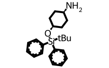 CC(C)(C)[Si](O[C@H]1CC[C@@H](N)CC1)(c1ccccc1)c1ccccc1